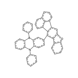 c1ccc(B2c3ccccc3N(c3ccccc3)c3ccc(-c4c5c(cc6oc7ccccc7c46)-c4cccc6cccc-5c46)cc32)cc1